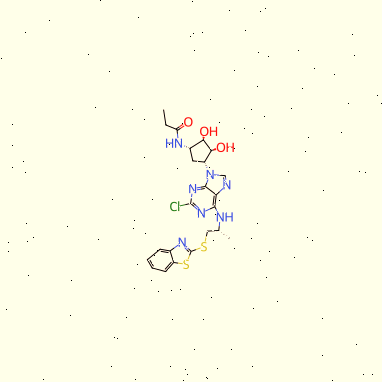 CCC(=O)N[C@H]1C[C@@H](n2cnc3c(N[C@H](C)CSc4nc5ccccc5s4)nc(Cl)nc32)[C@H](O)[C@@H]1O